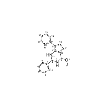 COC1NC(c2ccccn2)Nc2c(-c3ccccn3)csc21